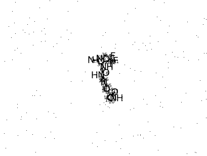 N#Cc1cc(NCC(=O)NC2CN([C@H]3CC[C@H](c4ccc[nH]c4=O)CC3)C2)c2cc(C(F)(F)F)ccc2n1